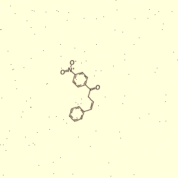 O=C(C/C=C\c1ccccc1)c1ccc([N+](=O)[O-])cc1